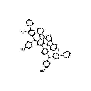 CC(C)(C)c1ccc(N(c2ccc(-c3ccccc3)c(F)c2)c2ccc3c(c2)C2(c4ccccc4-c4ccccc42)c2c-3cc(N(c3ccc(C(C)(C)C)cc3)c3ccc(-c4ccccc4)c(P)c3)c3c2oc2ccccc23)cc1